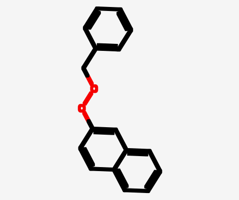 c1ccc(COOc2ccc3ccccc3c2)cc1